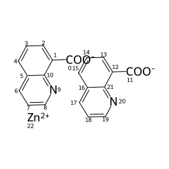 O=C([O-])c1cccc2cccnc12.O=C([O-])c1cccc2cccnc12.[Zn+2]